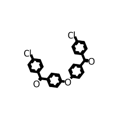 O=C(c1ccc(Cl)cc1)c1ccc(Oc2ccc(C(=O)c3ccc(Cl)cc3)cc2)cc1